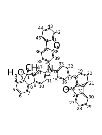 CC1(C)c2ccccc2-c2ccc(N(c3ccc(-c4cccc5c4C(=O)c4ccccc4-5)cc3)c3ccc4c(c3)oc3ccccc34)cc21